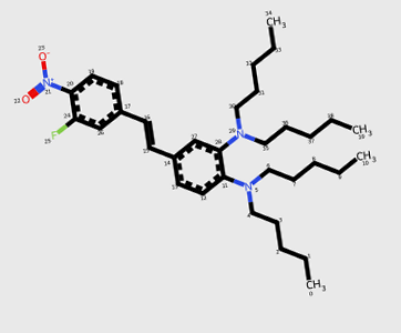 CCCCCN(CCCCC)c1ccc(C=Cc2ccc([N+](=O)[O-])c(F)c2)cc1N(CCCCC)CCCCC